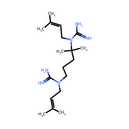 CC(C)=CCN(CCCC(C)(C)N(CC=C(C)C)C(=N)N)C(=N)N